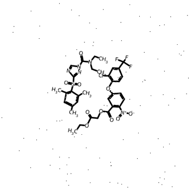 CCN(CC)C(=O)n1cnc(S(=O)(=O)c2c(C)cc(C)cc2C)n1.CCOC(=O)COC(=O)c1cc(Oc2ccc(C(F)(F)F)cc2Cl)ccc1[N+](=O)[O-]